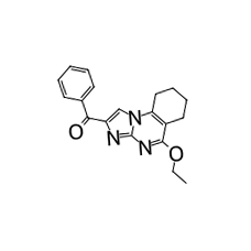 CCOc1nc2nc(C(=O)c3ccccc3)cn2c2c1CCCC2